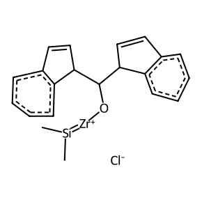 C[Si](C)=[Zr+][O]C(C1C=Cc2ccccc21)C1C=Cc2ccccc21.[Cl-]